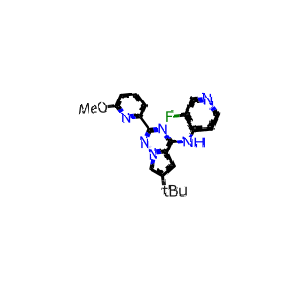 COc1cccc(-c2nc(Nc3ccncc3F)c3cc(C(C)(C)C)cn3n2)n1